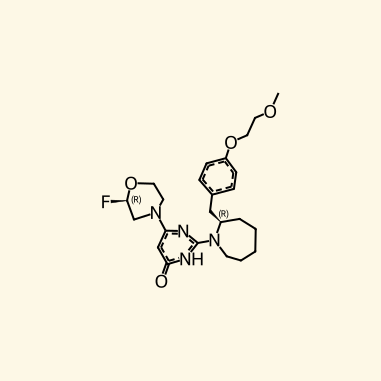 COCCOc1ccc(C[C@H]2CCCCCN2c2nc(N3CCO[C@H](F)C3)cc(=O)[nH]2)cc1